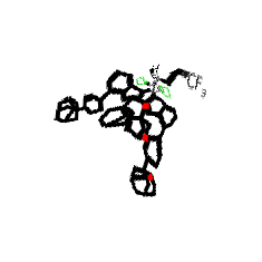 C[SiH](CCC(F)(F)F)[Zr]([Cl])([Cl])([CH]1C(CC23CCC(CC2)C3)=Cc2c(-c3ccc(C45CC6CC(CC(C6)C4)C5)cc3)cccc21)[CH]1C(CC23CCC(CC2)C3)=Cc2c(-c3ccc(C45CC6CC(CC(C6)C4)C5)cc3)cccc21